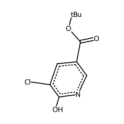 CC(C)(C)OC(=O)c1cnc(O)c(Cl)c1